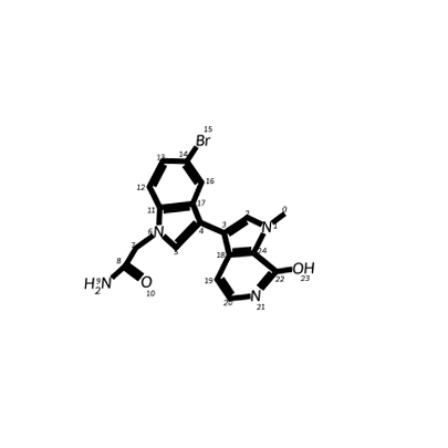 Cn1cc(-c2cn(CC(N)=O)c3ccc(Br)cc23)c2ccnc(O)c21